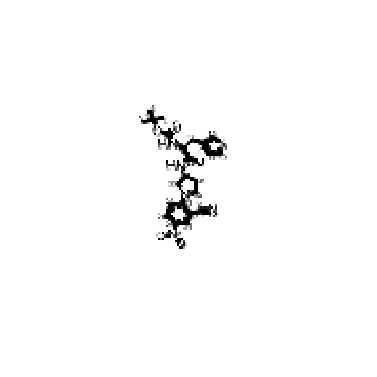 CC(C)(C)OC(=O)N[C@@H](Cc1ccsc1)C(=O)N[C@H]1CCN(c2ccc([N+](=O)[O-])cc2C#N)C1